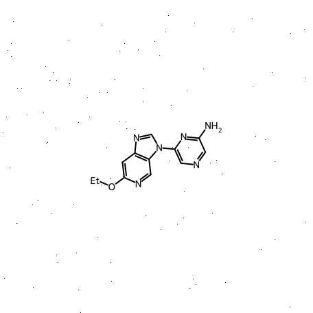 CCOc1cc2ncn(-c3cncc(N)n3)c2cn1